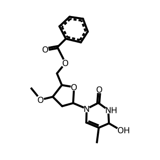 COC1CC(N2C=C(C)C(O)NC2=O)OC1COC(=O)c1ccccc1